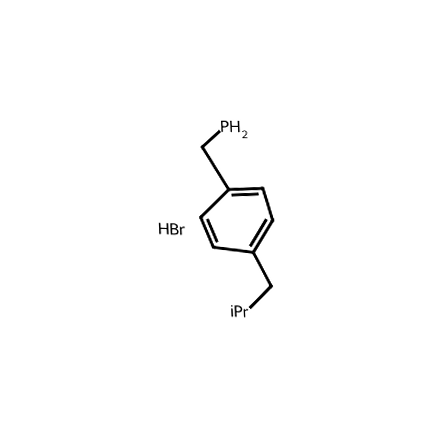 Br.CC(C)Cc1ccc(CP)cc1